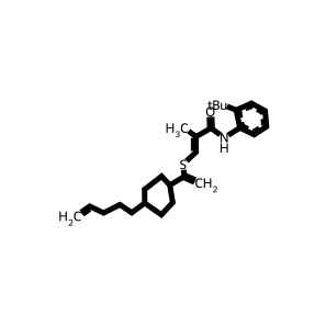 C=CCCCC1CCC(C(=C)S/C=C(\C)C(=O)Nc2ccccc2C(C)(C)C)CC1